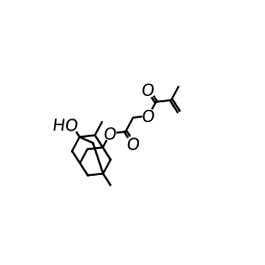 C=C(C)C(=O)OCC(=O)OC12CC3CC(C)(CC(O)(C3)C1C)C2